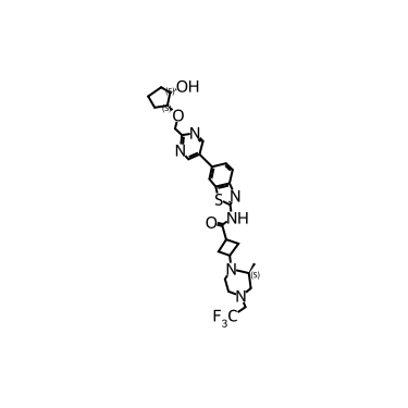 C[C@H]1CN(CC(F)(F)F)CCN1C1CC(C(=O)Nc2nc3ccc(-c4cnc(CO[C@H]5CCC[C@@H]5O)nc4)cc3s2)C1